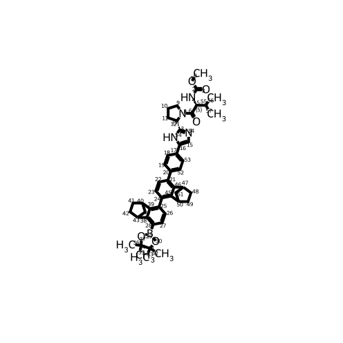 COC(=O)N[C@H](C(=O)N1CCC[C@H]1c1ncc(-c2ccc(-c3ccc(-c4ccc(B5OC(C)(C)C(C)(C)O5)c5c4C4CCC5C4)c4c3C3CCC4C3)cc2)[nH]1)C(C)C